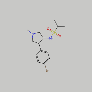 CC(C)S(=O)(=O)NC1CN(C)CC1c1ccc(Br)cc1